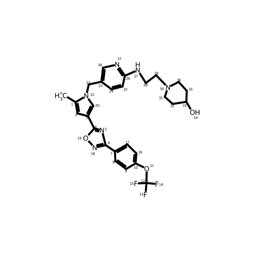 Cc1cc(-c2nc(-c3ccc(OC(F)(F)F)cc3)no2)cn1Cc1ccc(NCCN2CCC(O)CC2)nc1